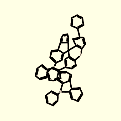 c1ccc(-c2ccc3c(c2)C2(c4cc(-c5ccccc5)ccc4O3)c3ccccc3-c3ccc(N(c4ccccc4)c4ccc5c6ccccc6n(-c6ccccc6)c5c4)cc32)cc1